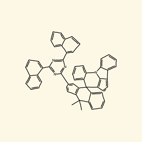 CC1(C)c2ccccc2C2(c3ccccc3-n3c4ccccc4c4cccc2c43)c2cc(-c3nc(-c4cccc5ccccc45)nc(-c4cccc5ccccc45)n3)ccc21